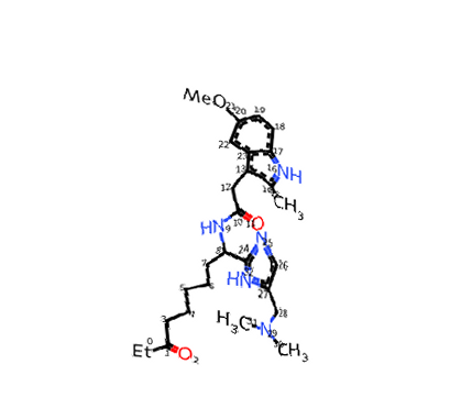 CCC(=O)CCCCCC(NC(=O)Cc1c(C)[nH]c2ccc(OC)cc12)c1ncc(CN(C)C)[nH]1